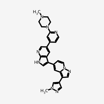 CN1CCN(c2cc(-c3cnc4[nH]cc(-c5ccn6ncc(-c7cnn(C)c7)c6c5)c4c3)ccn2)CC1